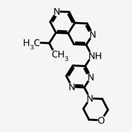 CC(C)c1cncc2cnc(Nc3ccnc(N4CCOCC4)n3)cc12